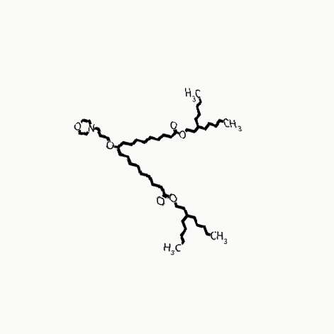 CCCCCC(CCCCC)CCOC(=O)CCCCCCCCC(CCCCCCCCC(=O)OCCC(CCCCC)CCCCC)OCCCN1CCOCC1